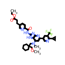 CCOC(=O)CCc1ccc(C(=O)Nc2nc3nc(-c4cnc(C5CC5)c(C(F)(F)F)c4)cc(N(C)CC4(COC)CCCCC4)c3[nH]2)nc1